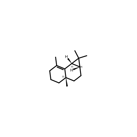 CC1=C2[C@H]3[C@@H](CC[C@]2(C)CCC1)C3(C)C